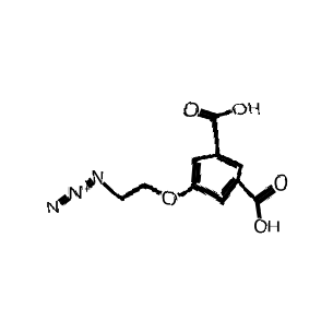 [N-]=[N+]=NCCOc1cc(C(=O)O)cc(C(=O)O)c1